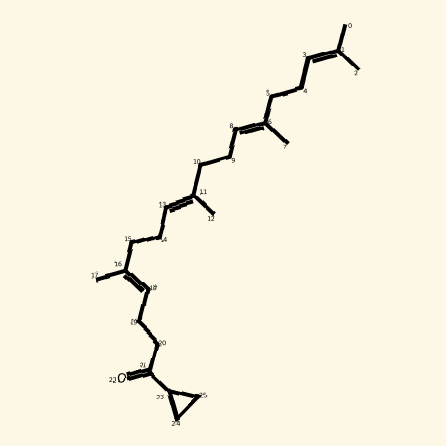 CC(C)=CCC/C(C)=C/CC/C(C)=C/CC/C(C)=C/CCC(=O)C1CC1